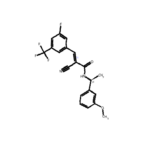 COc1cccc([C@H](C)NC(=O)/C(C#N)=C/c2cc(F)cc(C(F)(F)F)c2)c1